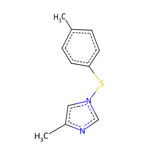 Cc1ccc(Sn2cnc(C)c2)cc1